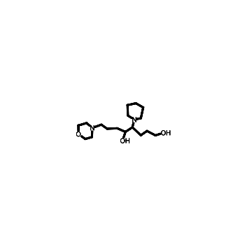 OCCCC(C(O)CCCN1CCOCC1)N1CCCCC1